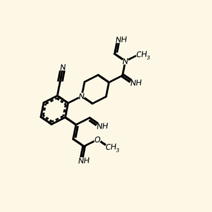 COC(=N)/C=C(\C=N)c1cccc(C#N)c1N1CCC(C(=N)N(C)C=N)CC1